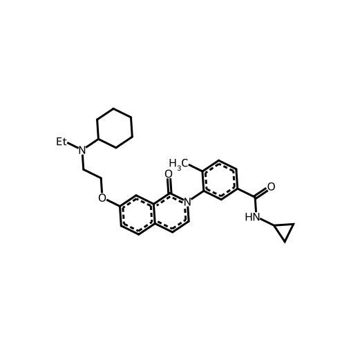 CCN(CCOc1ccc2ccn(-c3cc(C(=O)NC4CC4)ccc3C)c(=O)c2c1)C1CCCCC1